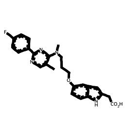 Cc1cnc(-c2ccc(F)cc2)nc1N(C)CCCOc1ccc2[nH]c(CC(=O)O)cc2c1